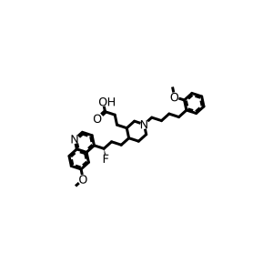 COc1ccc2nccc([C@@H](F)CCC3CCN(CCCCc4ccccc4OC)CC3CCC(=O)O)c2c1